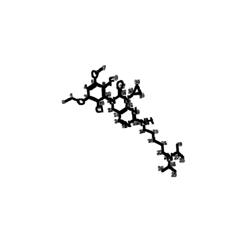 CCOc1cc(OC)c(F)c(N2Cc3cnc(NCCCCCN(C(C)C)C(C)C)nc3N(C3CC3)C2=O)c1Cl